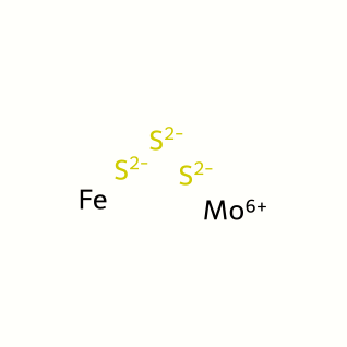 [Fe].[Mo+6].[S-2].[S-2].[S-2]